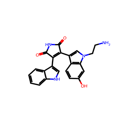 NCCn1cc(C2=C(c3c[nH]c4ccccc34)C(=O)NC2=O)c2ccc(O)cc21